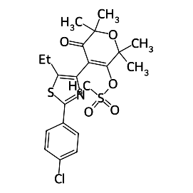 CCc1sc(-c2ccc(Cl)cc2)nc1C1=C(OS(C)(=O)=O)C(C)(C)OC(C)(C)C1=O